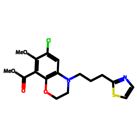 COC(=O)c1c(OC)c(Cl)cc2c1OCCN2CCCc1nccs1